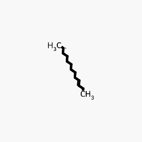 C[CH]CCCCCCC/C=C/CC